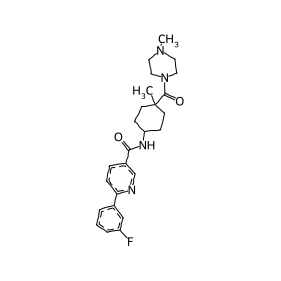 CN1CCN(C(=O)C2(C)CCC(NC(=O)c3ccc(-c4cccc(F)c4)nc3)CC2)CC1